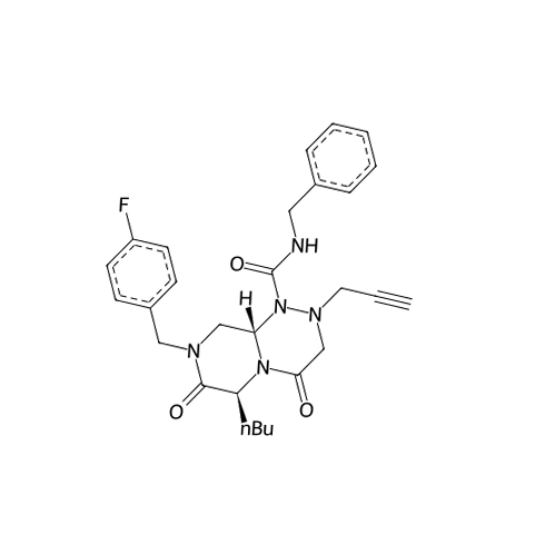 C#CCN1CC(=O)N2[C@@H](CCCC)C(=O)N(Cc3ccc(F)cc3)C[C@@H]2N1C(=O)NCc1ccccc1